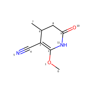 COC1=C(C#N)C(C)CC(=O)N1